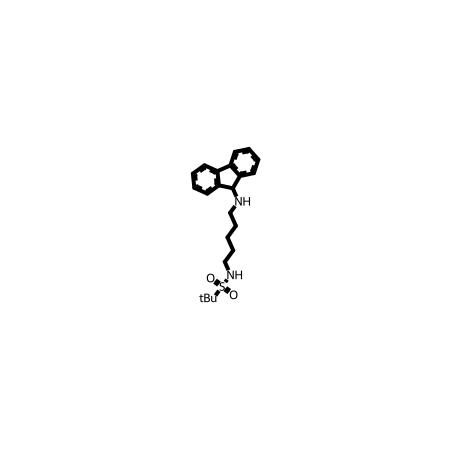 CC(C)(C)S(=O)(=O)NCCCCCNC1c2ccccc2-c2ccccc21